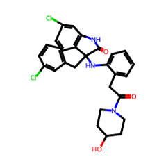 O=C(Cc1ccccc1NC1(Cc2cccc(Cl)c2)C(=O)Nc2cc(Cl)ccc21)N1CCC(O)CC1